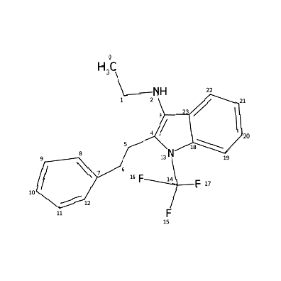 CCNc1c(CCc2ccccc2)n(C(F)(F)F)c2ccccc12